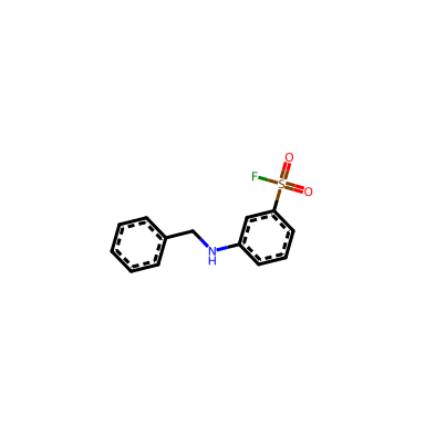 O=S(=O)(F)c1cccc(NCc2ccccc2)c1